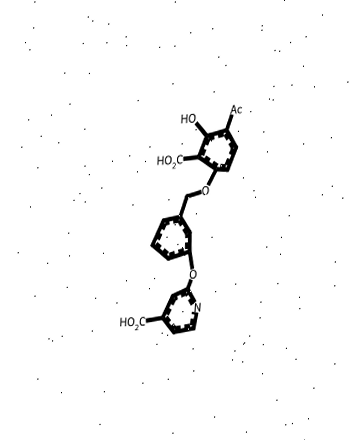 CC(=O)c1ccc(OCc2cccc(Oc3cc(C(=O)O)ccn3)c2)c(C(=O)O)c1O